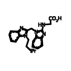 CC(C)CCn1c(Cn2c(NCC(=O)O)nc3ccccc32)nc2ccccc21